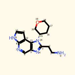 NCCc1nc2cnc3[nH]ccc3c2n1[C@H]1CCCOC1